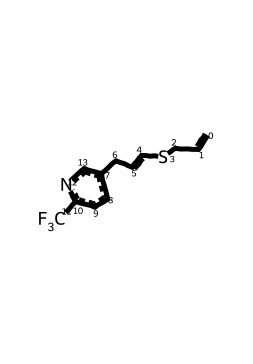 C=CCSC=CCc1ccc(C(F)(F)F)nc1